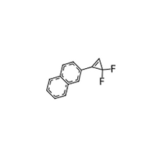 FC1(F)C=C1c1ccc2ccccc2c1